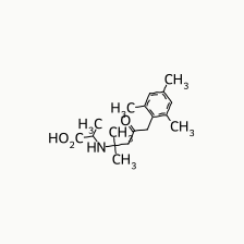 Cc1cc(C)c(CC(=O)CC(C)(C)NC(C)C(=O)O)c(C)c1